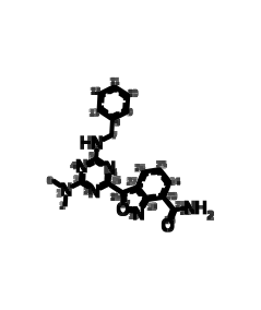 CN(C)c1nc(NCc2ccccc2)nc(-c2onc3c(C(N)=O)cccc23)n1